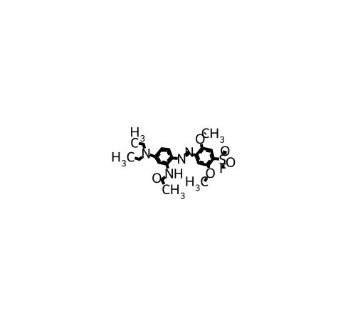 CCN(CC)c1ccc(N=Nc2cc(OC)c(S(=O)(=O)F)cc2OC)c(NC(C)=O)c1